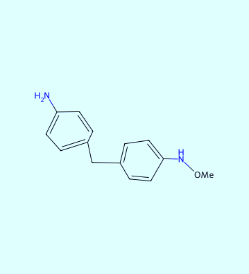 CONc1ccc(Cc2ccc(N)cc2)cc1